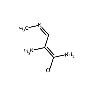 C/N=C\C(N)=C(/N)Cl